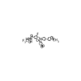 Cn1ccc2cc(-c3ccc(N(Cc4ccc(C(=O)NNC(=O)C(F)(F)F)cc4F)C(=O)N4CCS(=O)(=O)CC4)cc3)ccc21